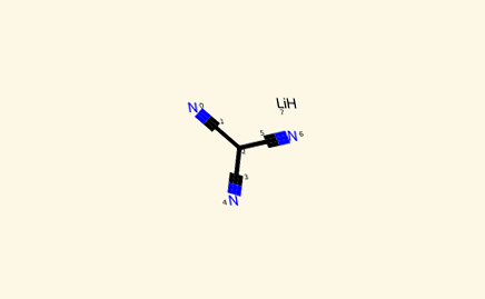 N#CC(C#N)C#N.[LiH]